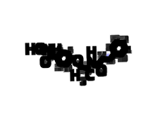 C[C@H](COc1ccc(C(=O)NO)cc1)NC(=O)/C=C/c1ccccc1